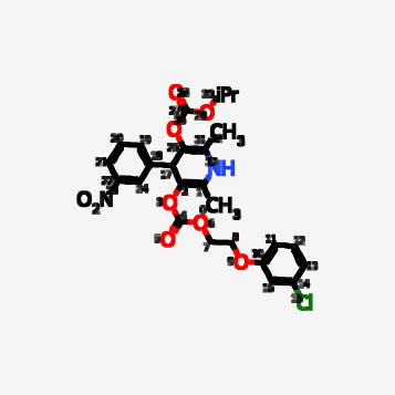 CC1=C(OC(=O)OCCOc2cccc(Cl)c2)C(c2cccc([N+](=O)[O-])c2)C(OC(=O)OC(C)C)=C(C)N1